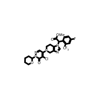 COC(=O)C(c1ccc(F)cc1C(F)(F)F)n1cnc2c1CCN(c1cnn(C3CCCCO3)c(=O)c1Cl)C2